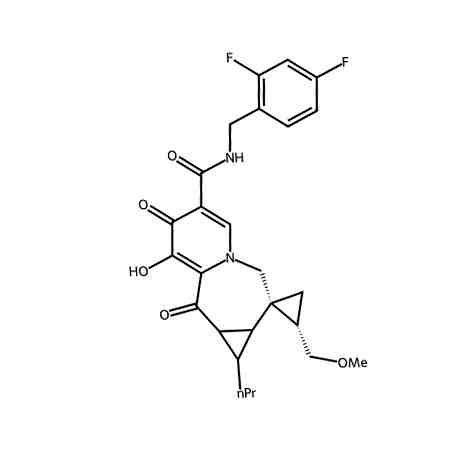 CCCC1C2C(=O)c3c(O)c(=O)c(C(=O)NCc4ccc(F)cc4F)cn3C[C@@]3(C[C@@H]3COC)C12